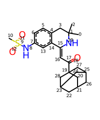 CC1(C)Cc2ccc(NS(C)(=O)=O)cc2/C(=C/C(=O)C23CC4CC(CC(C4)C2)C3)N1